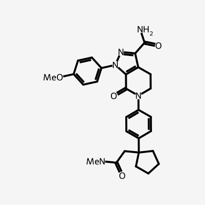 CNC(=O)CC1(c2ccc(N3CCc4c(C(N)=O)nn(-c5ccc(OC)cc5)c4C3=O)cc2)CCCC1